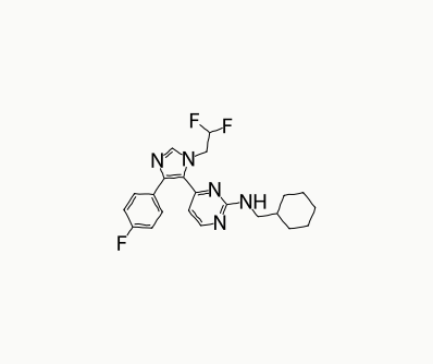 Fc1ccc(-c2ncn(CC(F)F)c2-c2ccnc(NCC3CCCCC3)n2)cc1